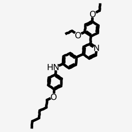 CCCCCCOc1ccc(Nc2ccc(-c3ccnc(-c4ccc(OCC)cc4OCC)c3)cc2)cc1